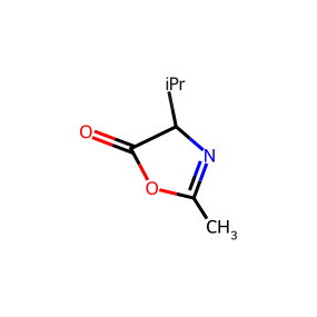 CC1=NC(C(C)C)C(=O)O1